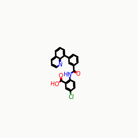 O=C(Nc1ccc(Cl)cc1C(=O)O)c1cccc(-c2cccc3cccnc23)c1